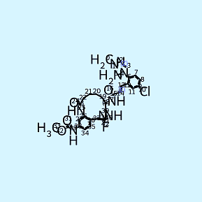 C=N/N=C\N(N)c1ccc(Cl)cc1/C=C/C(=O)N[C@H]1CCCCC(=O)Nc2cc(NC(=O)OC)ccc2-c2nc1[nH]c2F